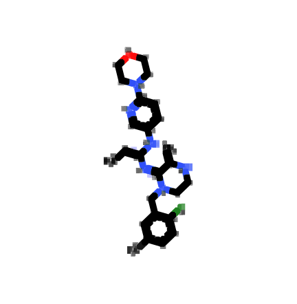 C=C1NCCN(Cc2cc(C(F)(F)F)ccc2Cl)/C1=N/C(=C\C)Nc1ccc(N2CCOCC2)nc1